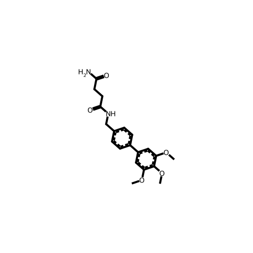 COc1cc(-c2ccc(CNC(=O)CCC(N)=O)cc2)cc(OC)c1OC